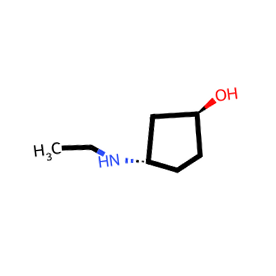 CCN[C@H]1CC[C@H](O)C1